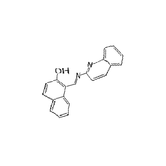 Oc1ccc2ccccc2c1C=Nc1ccc2ccccc2n1